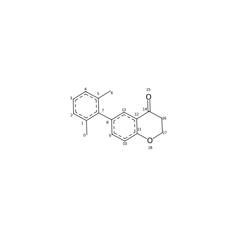 Cc1cccc(C)c1-c1ccc2c(c1)C(=O)CCO2